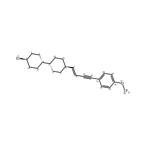 CC[C@H]1CC[C@H]([C@H]2CC[C@H](C=CC#Cc3ccc(OC(F)(F)F)cc3)CC2)CC1